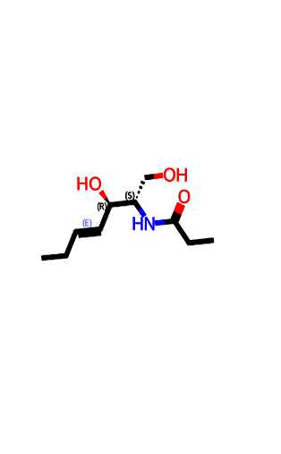 CC/C=C/[C@@H](O)[C@H](CO)NC(=O)CC